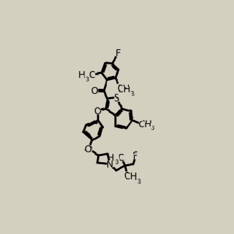 Cc1ccc2c(Oc3ccc(OC4CN(CC(C)(C)CF)C4)cc3)c(C(=O)c3c(C)cc(F)cc3C)sc2c1